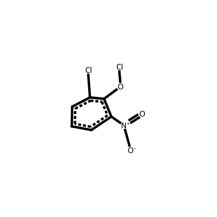 O=[N+]([O-])c1cccc(Cl)c1OCl